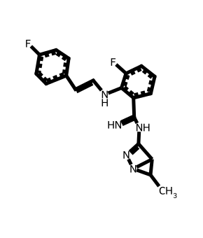 CC1C2C(NC(=N)c3cccc(F)c3N/C=C/c3ccc(F)cc3)=NN12